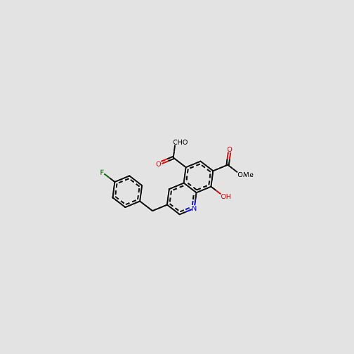 COC(=O)c1cc(C(=O)C=O)c2cc(Cc3ccc(F)cc3)cnc2c1O